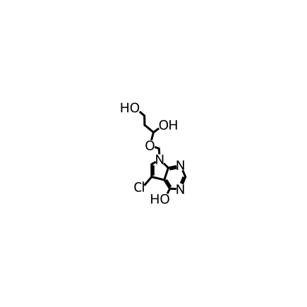 OCCC(O)OCn1cc(Cl)c2c(O)ncnc21